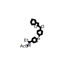 CC/C(=N\OC(C)=O)c1ccc(Sc2ccc(C(=O)c3cc4ccccc4o3)cc2)cc1